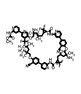 C=C(C)CC(C)(N)COc1ccc(-c2ccnc(NC(=O)[C@@H]3C(CC(=C)C[C@](C)(N)COc4ccc(-c5ccnc(NC(=O)[C@H]6C(C/C(C)=C/[C@](C)(N)COc7cnc(-c8ccnc(NC(=O)OC)c8)cc7C(F)(F)F)C6(F)F)c5)cc4C#N)C3(F)F)c2)cc1C#N